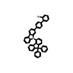 Brc1ccccc1-c1ccc(-c2ccc3c4ccccc4n(-c4cccc5c4-c4ccccc4C5(c4ccccc4)c4ccccc4)c3c2)cc1